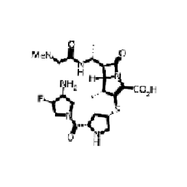 CNCC(=O)N[C@H](C)[C@H]1C(=O)N2C(C(=O)O)=C(S[C@@H]3CN[C@H](C(=O)N4C[C@@H](F)[C@@H](N)C4)C3)[C@H](C)[C@H]12